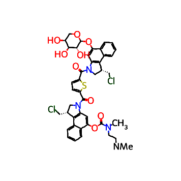 CNCCN(C)C(=O)Oc1cc2c(c3ccccc13)[C@H](CCl)CN2C(=O)c1ccc(C(=O)N2C[C@@H](CCl)c3c2cc(O[C@@H]2OC[C@H](O)[C@H](O)[C@H]2O)c2ccccc32)s1